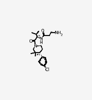 CC(C)[C@@H](NC(=O)CCN)C(=O)N1CC[C@H](c2ccc(Cl)cc2)C(C)(C)C1